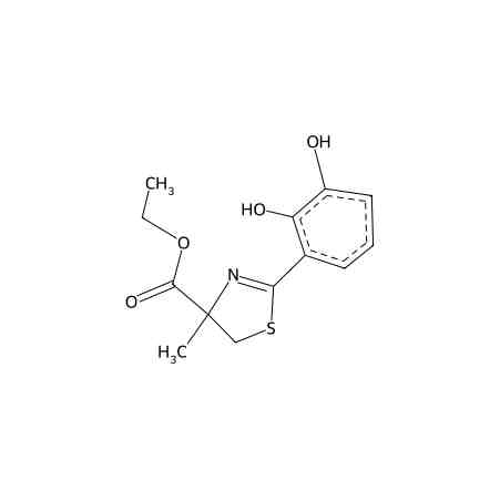 CCOC(=O)C1(C)CSC(c2cccc(O)c2O)=N1